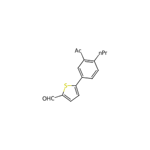 CCCc1ccc(-c2ccc(C=O)s2)cc1C(C)=O